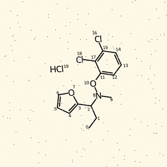 CCC(c1ccco1)N(C)Oc1cccc(Cl)c1Cl.Cl